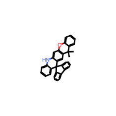 CC1(C)c2ccccc2Oc2cc3c(cc21)C1(c2ccccc2N3)c2ccccc2-c2ccccc21